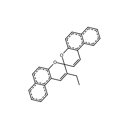 CCC1=Cc2c(ccc3ccccc23)OC12C=Cc1c(ccc3ccccc13)O2